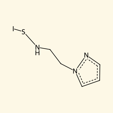 ISNCCn1cccn1